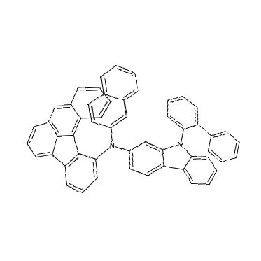 c1ccc(-c2ccccc2-n2c3ccccc3c3ccc(N(c4ccc5ccccc5c4)c4cccc5c4-c4c6ccccc6cc6cccc-5c46)cc32)cc1